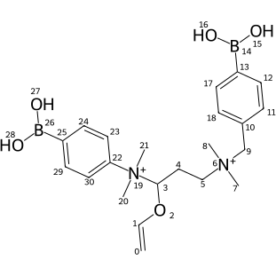 C=COC(CC[N+](C)(C)Cc1ccc(B(O)O)cc1)[N+](C)(C)c1ccc(B(O)O)cc1